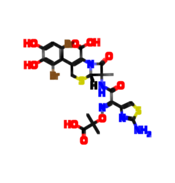 CC(C)(ON=C(C(=O)NC1(C)C(=O)N2C(C(=O)O)=C(c3c(Br)cc(O)c(O)c3Br)CS[C@H]21)c1csc(N)n1)C(=O)O